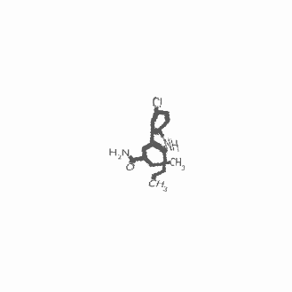 CCCC1(C)CC(C(N)=O)Cc2c1[nH]c1ccc(Cl)cc21